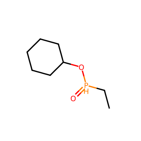 CC[PH](=O)OC1CCCCC1